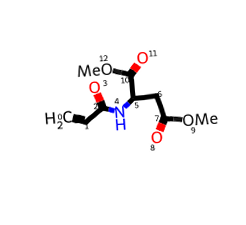 C=CC(=O)NC(CC(=O)OC)C(=O)OC